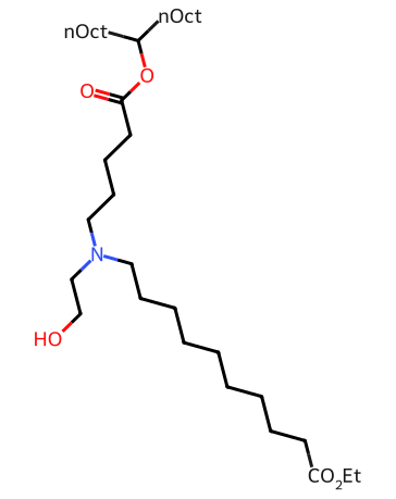 CCCCCCCCC(CCCCCCCC)OC(=O)CCCCN(CCO)CCCCCCCCCC(=O)OCC